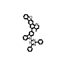 Cc1ccnc2c1c(-c1ccc3c(c1)c1ccccc1n3-c1nc(-c3ccccc3)nc(-c3ccccc3)n1)cc1cc3c(cc12)oc1ccccc13